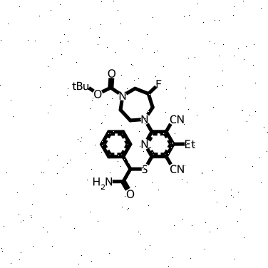 CCc1c(C#N)c(SC(C(N)=O)c2ccccc2)nc(N2CCN(C(=O)OC(C)(C)C)CC(F)C2)c1C#N